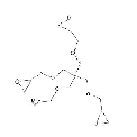 CCOCC(COCC1CO1)(COCC1CO1)COCC1CO1